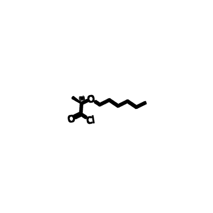 CCCCCCO[C@H](C)C(=O)Cl